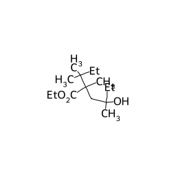 CCOC(=O)C(C)(CC(C)(O)CC)C(C)(C)CC